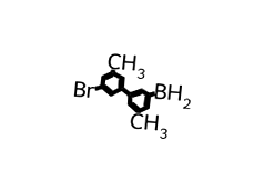 Bc1cc(C)cc(-c2cc(C)cc(Br)c2)c1